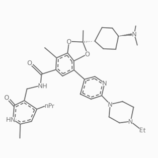 CCCc1cc(C)[nH]c(=O)c1CNC(=O)c1cc(-c2ccc(N3CCN(CC)CC3)nc2)c2c(c1C)OC(C)([C@H]1CC[C@H](N(C)C)CC1)O2